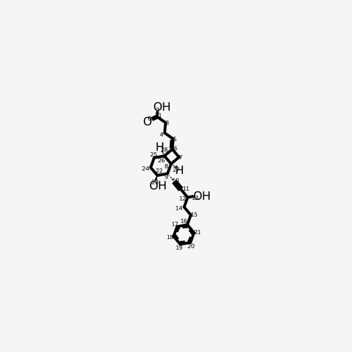 O=C(O)CC/C=C1/C[C@H]2[C@H](C#CC(O)CCc3ccccc3)[C@@H](O)CC[C@@H]12